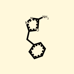 Nc1nnc(Cc2ccccc2)o1